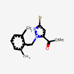 COC(=O)c1cc(Br)nn1Cc1c(C)cccc1C